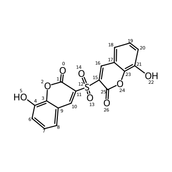 O=c1oc2c(O)cccc2cc1S(=O)(=O)c1cc2cccc(O)c2oc1=O